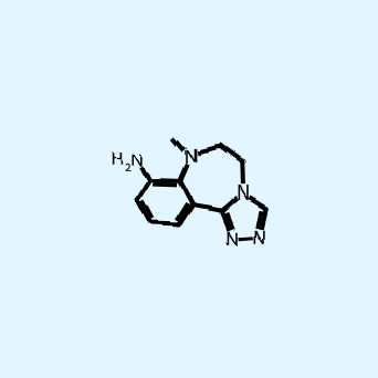 CN1CCn2cnnc2-c2cccc(N)c21